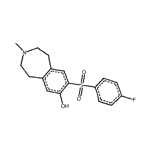 CN1CCc2cc(O)c(S(=O)(=O)c3ccc(F)cc3)cc2CC1